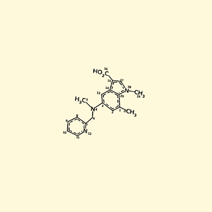 Cc1cc(N(C)Cc2ccccn2)cc2c(C(=O)O)cn(C)c12